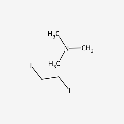 CN(C)C.ICCI